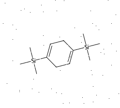 C[Si](C)(C)C1=CCC([Si](C)(C)C)=CC1